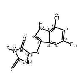 C=C1N[C@H](Cc2c[nH]c3c(Cl)cc(F)cc23)C(=O)N1C